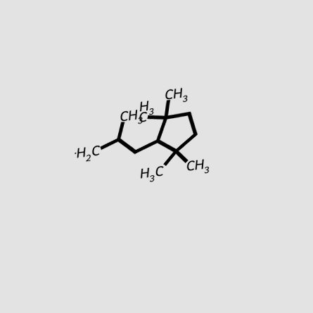 [CH2]C(C)CC1C(C)(C)CCC1(C)C